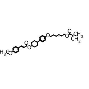 C=C(C)C(=O)OCCCCCCOc1ccc(C2CCC(OC(=O)/C=C/c3ccc(OC)cc3)CC2)cc1